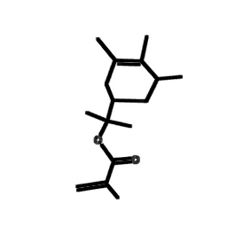 C=C(C)C(=O)OC(C)(C)C1CC(C)=C(C)C(C)C1